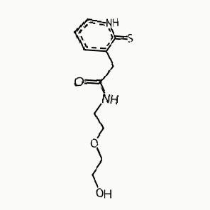 O=C(Cc1ccc[nH]c1=S)NCCOCCO